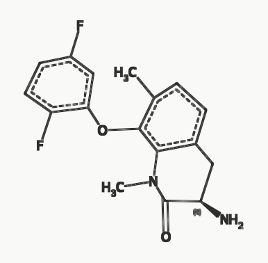 Cc1ccc2c(c1Oc1cc(F)ccc1F)N(C)C(=O)[C@H](N)C2